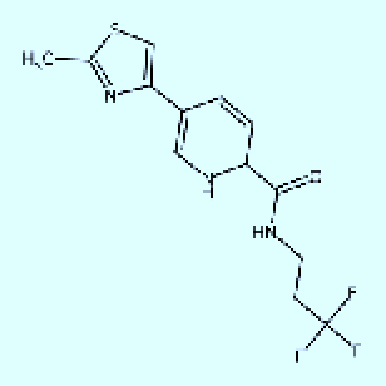 Cc1nc(C2=CNC(C(=O)NCCC(F)(F)F)C=C2)cs1